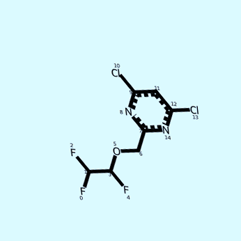 FC(F)C(F)OCc1nc(Cl)cc(Cl)n1